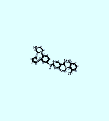 O=C1c2cnc(Nc3ccc(N4CCNCC4)c(-n4cccc4)c3)nc2SCN1c1c(Cl)cccc1Cl